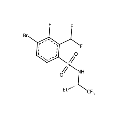 CC[C@H](NS(=O)(=O)c1ccc(Br)c(F)c1C(F)F)C(F)(F)F